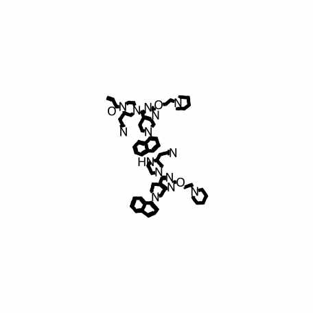 C=CC(=O)N1CCN(c2nc(OCCN3CCCCC3)nc3c2CCN(c2cccc4ccccc24)C3)CC1CC#N.N#CCC1CN(c2nc(OCCN3CCCCC3)nc3c2CCN(c2cccc4ccccc24)C3)CCN1